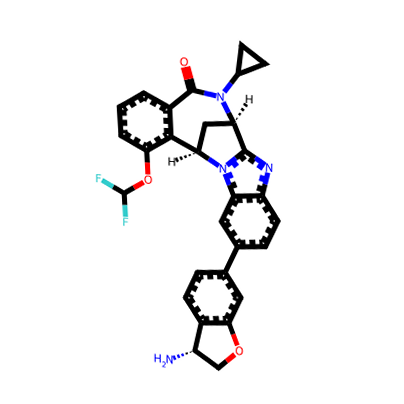 N[C@H]1COc2cc(-c3ccc4nc5n(c4c3)[C@@H]3C[C@H]5N(C4CC4)C(=O)c4cccc(OC(F)F)c43)ccc21